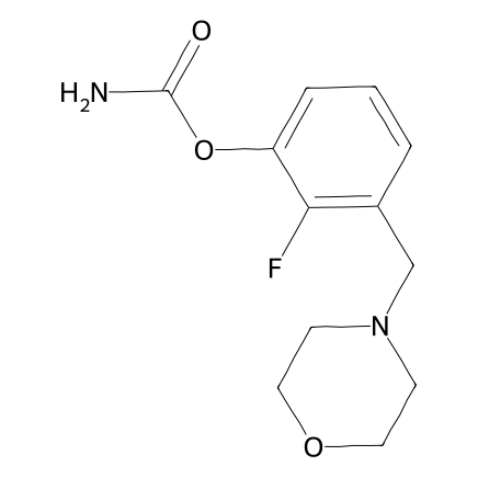 NC(=O)Oc1cccc(CN2CCOCC2)c1F